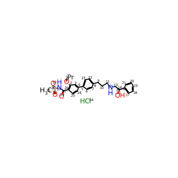 CC(C)Oc1cc(-c2ccc(CCCNC[C@H](O)c3ccccc3)cc2)ccc1C(=O)NS(C)(=O)=O.Cl